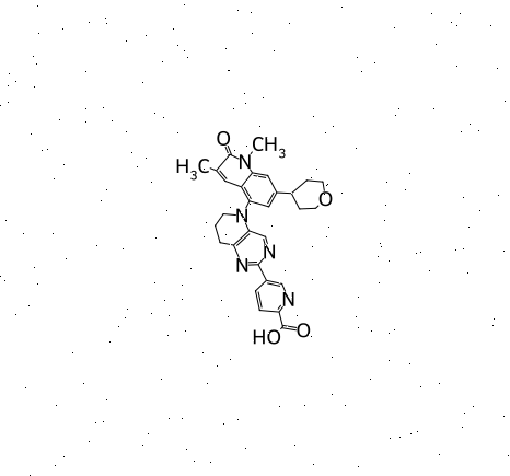 Cc1cc2c(N3CCCc4nc(-c5ccc(C(=O)O)nc5)ncc43)cc(C3CCOCC3)cc2n(C)c1=O